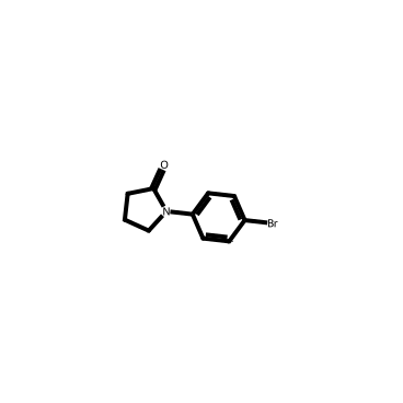 O=C1CCCN1c1c[c]c(Br)cc1